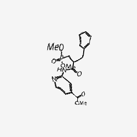 COC(=O)c1ccnc(NC(=O)C(Cc2ccccc2)CP(=O)(OC)OC)c1